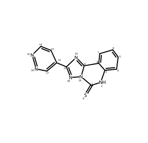 S=c1[nH]c2ccccc2c2nc(-c3ccnnc3)nn12